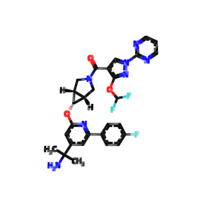 CC(C)(N)c1cc(O[C@@H]2[C@@H]3CN(C(=O)c4cn(-c5ncccn5)nc4OC(F)F)C[C@@H]32)nc(-c2ccc(F)cc2)c1